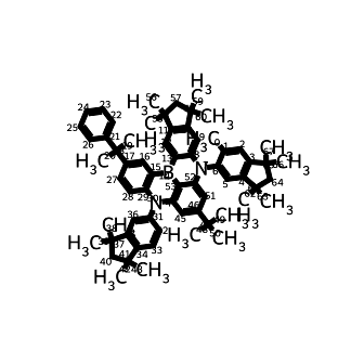 Cc1cc2c(cc1N1c3cc4c(cc3B3c5cc(C(C)(C)c6ccccc6)ccc5N(c5ccc6c(c5)C(C)(C)CC6(C)C)c5cc(C(C)(C)C)cc1c53)C(C)(C)CC4(C)C)C(C)(C)CC2(C)C